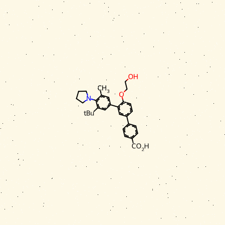 Cc1cc(-c2cc(-c3ccc(C(=O)O)cc3)ccc2OCCO)cc(C(C)(C)C)c1N1CCCC1